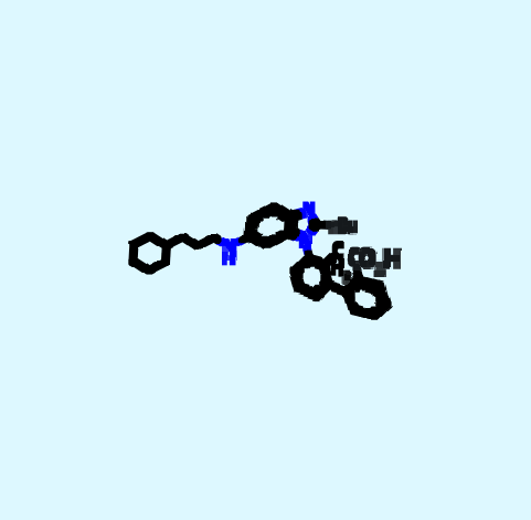 CCCCc1nc2ccc(NCCCC3CCCCC3)cc2n1-c1cccc(-c2ccccc2C(=O)O)c1C